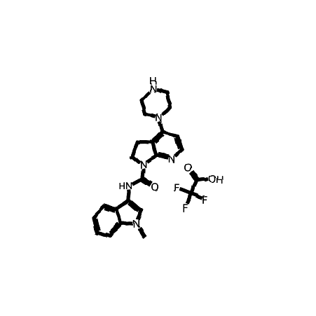 Cn1cc(NC(=O)N2CCc3c(N4CCNCC4)ccnc32)c2ccccc21.O=C(O)C(F)(F)F